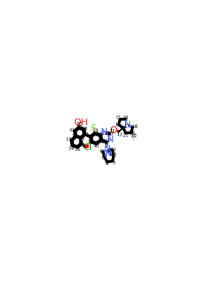 CN1C2CCC1CN(c1nc(OC[C@@]34CCCN3C[C@H](F)C4)nc3c(F)c(-c4cc(O)cc5cccc(Cl)c45)c(F)cc13)C2